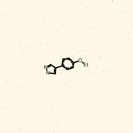 CCOc1ccc(C2=C[N]N=C2)cc1